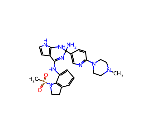 CN1CCN(c2ccc(C3(N)N=C(Nc4cccc5c4N(S(C)(=O)=O)CC5)c4cc[nH]c4N3)cn2)CC1